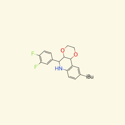 CCC(C)c1ccc2c(c1)C1OCCOC1C(c1ccc(F)c(F)c1)N2